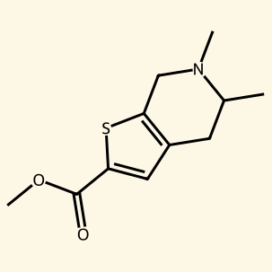 COC(=O)c1cc2c(s1)CN(C)C(C)C2